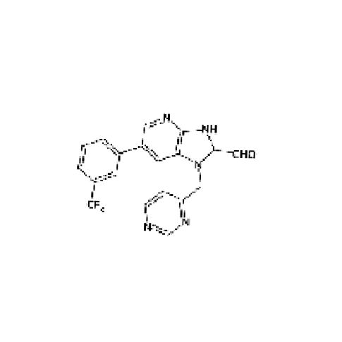 O=CC1Nc2ncc(-c3cccc(C(F)(F)F)c3)cc2N1Cc1ccncn1